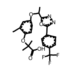 Cc1cc(OC(C)c2nnc(-c3ccc(C(F)(F)F)cc3)o2)ccc1OC(C)(C)C(=O)O